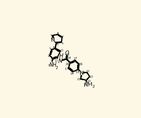 Nc1ccc(-c2ccccn2)cc1NC(=O)c1ccc(N2CCC(N)C2)cc1